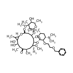 CO[C@]1(C)C[C@H](O[C@H]2[C@H](C)[C@@H](O[C@@H]3O[C@H](C)C[C@H](N(C)C)[C@H]3OCCOCc3ccccc3)[C@@](C)(OC)C[C@@H](C)C(=O)[C@H](C)[C@@H](O)[C@@]3(O)C(C)[C@H]3OC(=O)[C@@H]2C)O[C@@H](C)[C@@H]1O